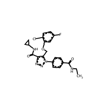 CCNC(=O)c1ccc(-n2nnc(C(=O)NC3CC3)c2COc2cc(F)ccc2Cl)cc1